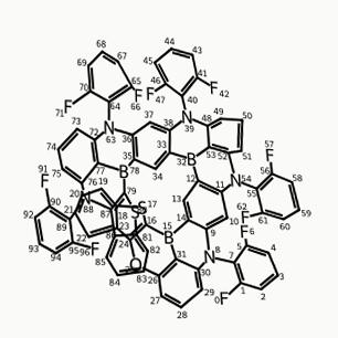 Fc1cccc(F)c1N1c2cc3c(cc2B2c4sc5ccccc5c4Oc4cccc1c42)B1c2cc4c(cc2N(c2c(F)cccc2F)c2cccc(c21)N3c1c(F)cccc1F)N(c1c(F)cccc1F)c1cccc2c1B4c1sc3ccccc3c1N2c1c(F)cccc1F